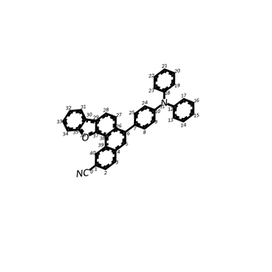 N#Cc1ccc2cc(-c3ccc(N(c4ccccc4)c4ccccc4)cc3)c3ccc4c5ccccc5oc4c3c2c1